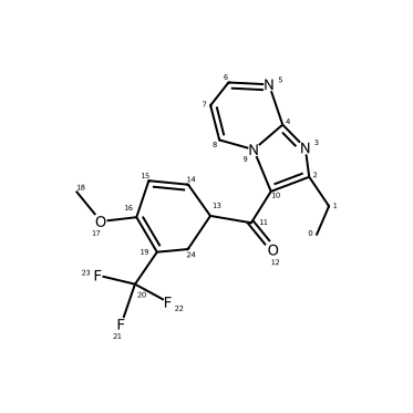 CCc1nc2ncccn2c1C(=O)C1C=CC(OC)=C(C(F)(F)F)C1